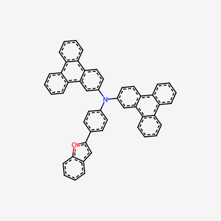 c1ccc2oc(-c3ccc(N(c4ccc5c6ccccc6c6ccccc6c5c4)c4ccc5c6ccccc6c6ccccc6c5c4)cc3)cc2c1